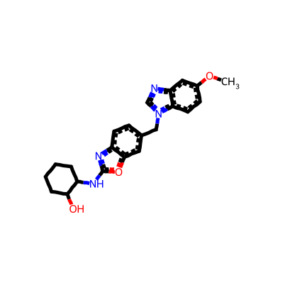 COc1ccc2c(c1)ncn2Cc1ccc2nc(NC3CCCCC3O)oc2c1